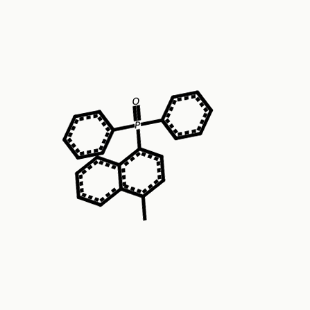 Cc1ccc(P(=O)(c2ccccc2)c2ccccc2)c2ccccc12